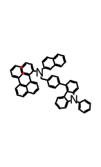 c1ccc(-c2cccc3cccc(-c4ccccc4N(Cc4ccc(-c5cccc6c5c5ccccc5n6-c5ccccc5)cc4)c4ccc5ccccc5c4)c23)cc1